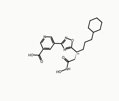 O=C(C[C@@H](CCCC1CCCCC1)c1nc(-c2cncc(C(=O)O)c2)no1)NO